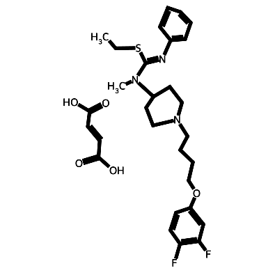 CCSC(=Nc1ccccc1)N(C)C1CCN(CCCCOc2ccc(F)c(F)c2)CC1.O=C(O)C=CC(=O)O